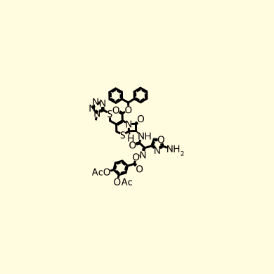 CC(=O)Oc1ccc(C(=O)O/N=C(\C(=O)N[C@@H]2C(=O)N3C(C(=O)OC(c4ccccc4)c4ccccc4)=C(CSc4nnnn4C)CS[C@@H]23)c2coc(N)n2)cc1OC(C)=O